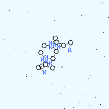 N#Cc1ccccc1-c1ccc2c(c1)c1ccccc1n2-c1ccc(-c2ccc(-n3c4ccccc4c4cc(-c5ccccc5C#N)ccc43)c(-c3nc(-c4ccccc4)nc(-c4ccccc4)n3)c2)cc1-c1nc(-c2ccccc2)nc(-c2ccccc2)n1